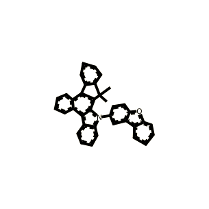 CC1(C)c2ccccc2-c2c1c1c(c3ccccc23)c2ccccc2n1-c1ccc2oc3ccccc3c2c1